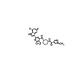 Cc1nc(-c2c[nH]c3c(F)cc(F)cc23)nc(NC2CCCC(NC(=O)c3cnn(C)c3)C2)c1F